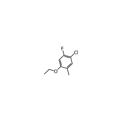 CCOc1cc(F)c(Cl)cc1C